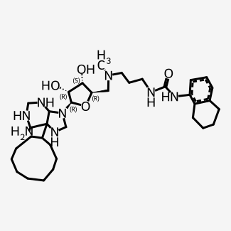 CN(CCCNC(=O)Nc1cccc2c1CCCC2)C[C@H]1O[C@@H](N2CNC3(C4CCCCCCCCC4)C(N)NCNC23)[C@H](O)[C@@H]1O